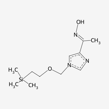 CC(=NO)c1cn(COCC[Si](C)(C)C)cn1